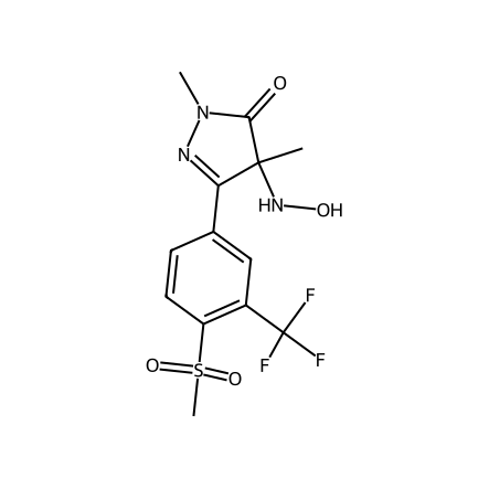 CN1N=C(c2ccc(S(C)(=O)=O)c(C(F)(F)F)c2)C(C)(NO)C1=O